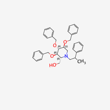 CC(CN1C[C@H](OCc2ccccc2)[C@@H](OCc2ccccc2)[C@H](OCc2ccccc2)[C@H]1CO)c1ccccc1